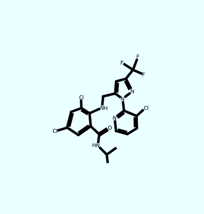 CC(C)NC(=O)c1cc(Cl)cc(Cl)c1NCc1cc(C(F)(F)F)nn1-c1ncccc1Cl